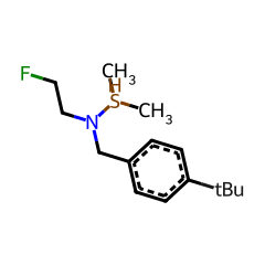 C[SH](C)N(CCF)Cc1ccc(C(C)(C)C)cc1